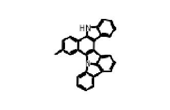 Cc1ccc2c(c1)c1c(c3cccc4c5ccccc5n1c43)c1c3ccccc3[nH]c21